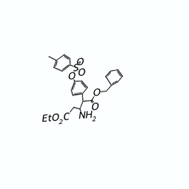 CCOC(=O)CC(N)C(C(=O)OCc1ccccc1)c1ccc(OS(=O)(=O)c2ccc(C)cc2)cc1